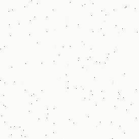 CC(C)(C)c1ccccc1-n1cc(-c2ccccc2)c(-c2ccccn2)c1Cc1ccccc1